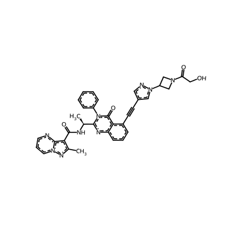 Cc1nn2cccnc2c1C(=O)N[C@@H](C)c1nc2cccc(C#Cc3cnn(C4CN(C(=O)CO)C4)c3)c2c(=O)n1-c1ccccc1